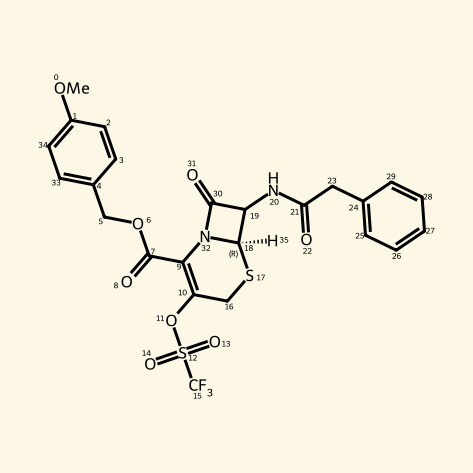 COc1ccc(COC(=O)C2=C(OS(=O)(=O)C(F)(F)F)CS[C@@H]3C(NC(=O)Cc4ccccc4)C(=O)N23)cc1